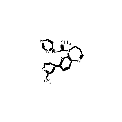 C=C(Nc1ccncn1)N1CCC=Nc2ccc(-c3ccnc(C)c3)nc21